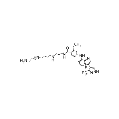 CCc1cc(Nc2nccn3c(-c4c[nH]nc4C(F)(F)F)cnc23)ccc1C(=O)NCCCNCCCCNCCCN